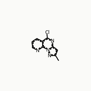 Cc1cc2nc(Cl)c3cccnc3n2n1